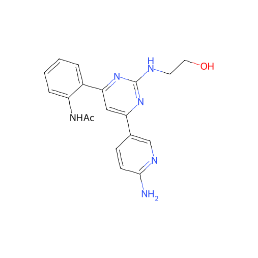 CC(=O)Nc1ccccc1-c1cc(-c2ccc(N)nc2)nc(NCCO)n1